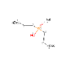 CCCCCCCCCCCCP(=O)(O)CCCCCCCCCCCC.[Nd]